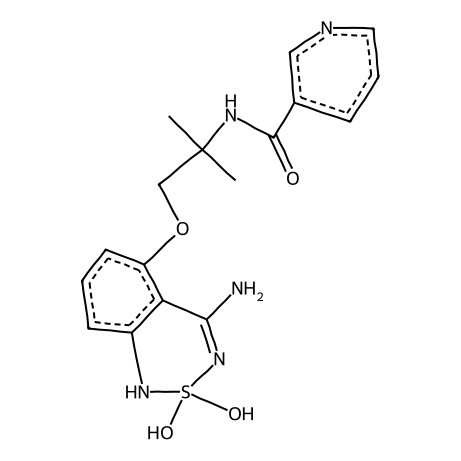 CC(C)(COc1cccc2c1C(N)=NS(O)(O)N2)NC(=O)c1cccnc1